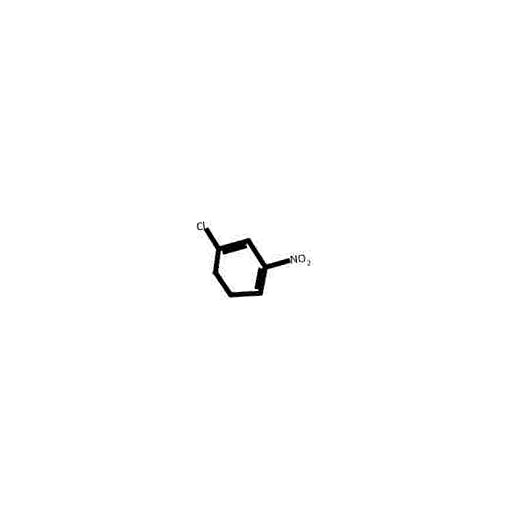 O=[N+]([O-])C1=CC[CH]C(Cl)=C1